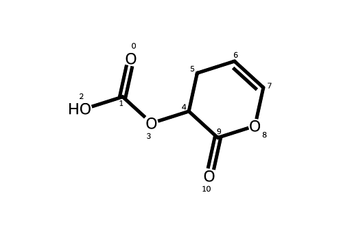 O=C(O)OC1CC=COC1=O